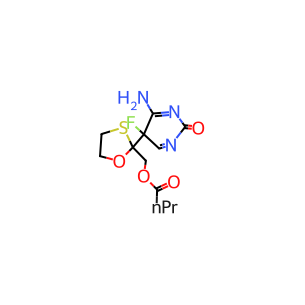 CCCC(=O)OCC1(C2(F)C=NC(=O)N=C2N)OCCS1